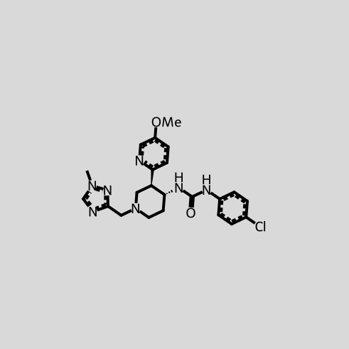 COc1ccc([C@@H]2CN(Cc3ncn(C)n3)CC[C@H]2NC(=O)Nc2ccc(Cl)cc2)nc1